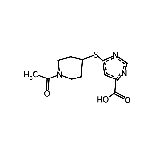 CC(=O)N1CCC(Sc2cc(C(=O)O)ncn2)CC1